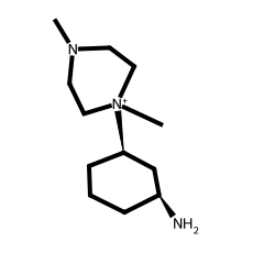 CN1CC[N+](C)([C@@H]2CCC[C@H](N)C2)CC1